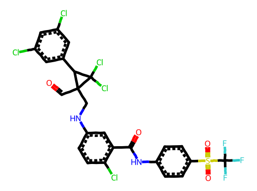 O=CC1(CNc2ccc(Cl)c(C(=O)Nc3ccc(S(=O)(=O)C(F)(F)F)cc3)c2)C(c2cc(Cl)cc(Cl)c2)C1(Cl)Cl